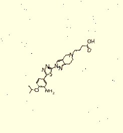 CC(C)Oc1ccc(-c2nnc(-n3cc4c(n3)CCN(CCCC(=O)O)C4)s2)cc1N